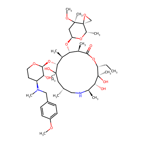 CC[C@H]1OC(=O)[C@H](C)[C@@H](O[C@H]2C[C@@](C)(OC)[C@]3(CO3)[C@H](C)O2)[C@H](C)[C@@H](O[C@@H]2OCC[C@H](N(C)Cc3ccc(OC)cc3)[C@H]2O)[C@](C)(O)C[C@@H](C)CN[C@H](C)[C@@H](O)[C@]1(C)O